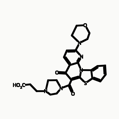 O=C(O)CCN1CCN(C(=O)c2c(=O)c3ccc(N4CCOCC4)nc3n3c2sc2ccccc23)CC1